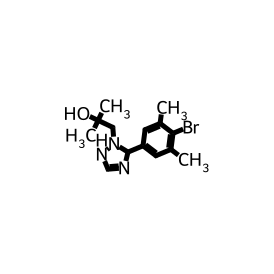 Cc1cc(C2N=CNN2CC(C)(C)O)cc(C)c1Br